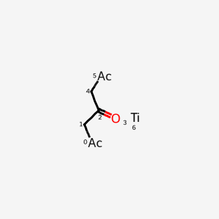 CC(=O)CC(=O)CC(C)=O.[Ti]